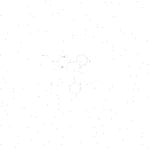 CCCCOc1ccccc1C1Nc2ccccc2-c2nnc(SCC)nc2O1